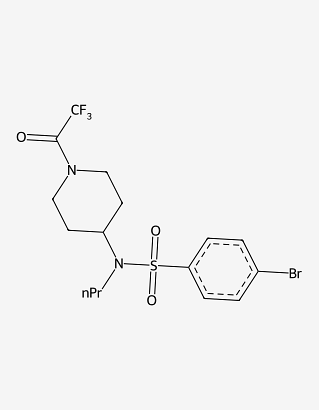 CCCN(C1CCN(C(=O)C(F)(F)F)CC1)S(=O)(=O)c1ccc(Br)cc1